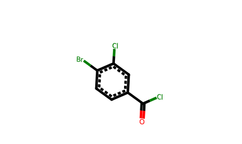 O=C(Cl)c1ccc(Br)c(Cl)c1